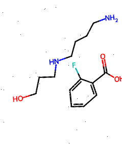 NCCCCNCCCO.O=C(O)c1ccccc1F